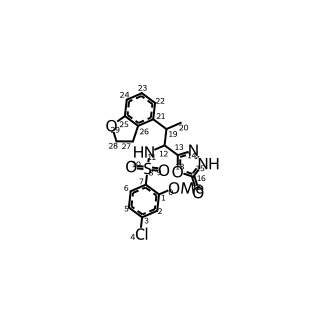 COc1cc(Cl)ccc1S(=O)(=O)NC(c1n[nH]c(=O)o1)C(C)c1cccc2c1CCO2